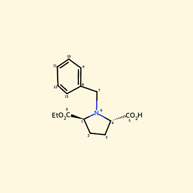 CCOC(=O)[C@@H]1CC[C@@H](C(=O)O)N1Cc1ccccc1